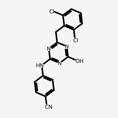 N#Cc1ccc(Nc2nc(O)nc(Cc3c(Cl)cccc3Cl)n2)cc1